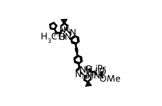 COC(=O)N[C@H](C(=O)N1CC2(CC2)C[C@H]1c1ncc(-c2ccc(C#Cc3ccc4nc([C@@H]5CC6(CC6)CN5C(=O)[C@H](C)C5CCCC5)[nH]c4c3)cc2)[nH]1)C(C)C